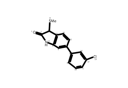 CSC1C(=O)Nc2cc(-c3cccc(Cl)c3)ccc21